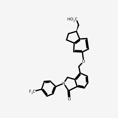 O=C(O)C[C@@H]1CCc2cc(OCc3cccc4c3CN(c3ccc(C(F)(F)F)cc3)C4=O)ccc21